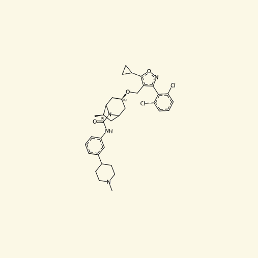 C[C@@H]1CC2C[C@H](OCc3c(-c4c(Cl)cccc4Cl)noc3C3CC3)CC1N2C(=O)Nc1cccc(C2CCN(C)CC2)c1